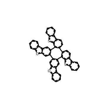 c1ccc2c(c1)oc1cc3c(cc12)-c1c(ccc2c1sc1ccccc12)-c1ccc2c(sc4ccccc42)c1-c1cc2c(cc1-3)oc1ccccc12